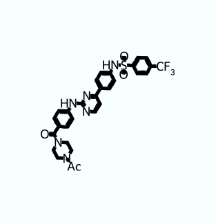 CC(=O)N1CCN(C(=O)c2ccc(Nc3nccc(-c4ccc(NS(=O)(=O)c5ccc(C(F)(F)F)cc5)cc4)n3)cc2)CC1